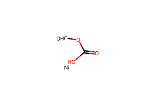 O=COC(=O)O.[Ni]